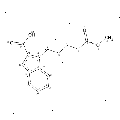 COC(=O)CCCCn1c(C(=O)O)cc2ccccc21